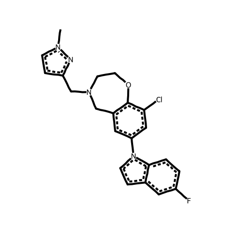 Cn1ccc(CN2CCOc3c(Cl)cc(-n4ccc5cc(F)ccc54)cc3C2)n1